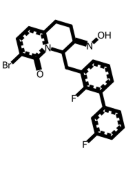 O=c1c(Br)ccc2n1C(Cc1cccc(-c3cccc(F)c3)c1F)C(=NO)CC2